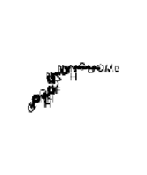 COCCOCCOCCNCc1ccc(-c2cc3nccc(Oc4ccc(NC(=O)Nc5cccc(P(C)(C)=O)c5)cc4F)c3s2)nc1